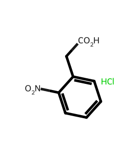 Cl.O=C(O)Cc1ccccc1[N+](=O)[O-]